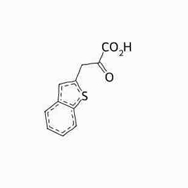 O=C(O)C(=O)Cc1cc2ccccc2s1